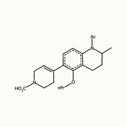 CCCOc1c(C2=CCN(C(=O)O)CC2)ccc2c1CCC(C)N2C(C)=O